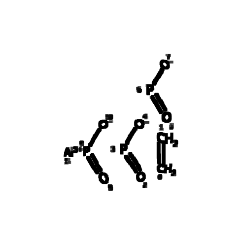 C=C.O=P[O-].O=P[O-].O=P[O-].[Al+3]